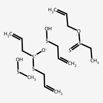 C=CCOS(=S)CC.C=CCSO.C=CCS[S+]([O-])CC=C.CSO